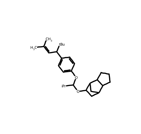 CC(C)=CC(c1ccc(OC(OC2CC3CC2C2CCCC32)C(C)C)cc1)C(C)(C)C